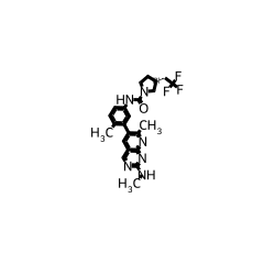 CNc1ncc2cc(-c3cc(NC(=O)N4CC[C@H](CC(F)(F)F)C4)ccc3C)c(C)nc2n1